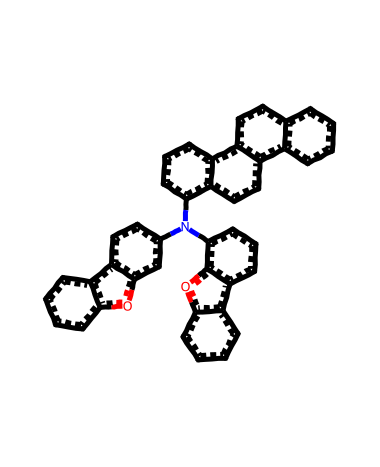 c1ccc2c(c1)ccc1c3cccc(N(c4ccc5c(c4)oc4ccccc45)c4cccc5c4oc4ccccc45)c3ccc21